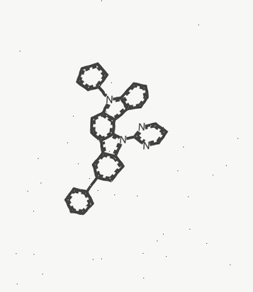 c1ccc(-c2ccc3c(c2)c2ccc4c(c5ccccc5n4-c4ccccc4)c2n3-c2ncccn2)cc1